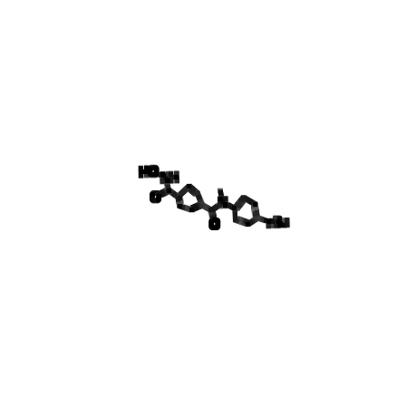 CCCCc1ccc(N(C)C(=O)c2ccc(C(=O)NO)cc2)cc1